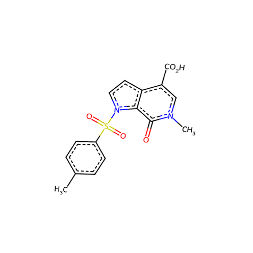 Cc1ccc(S(=O)(=O)n2ccc3c(C(=O)O)cn(C)c(=O)c32)cc1